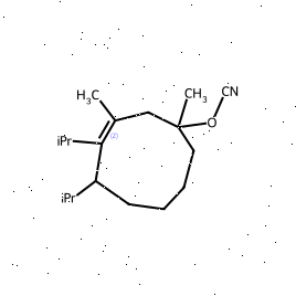 C/C1=C(\C(C)C)C(C(C)C)CCCCC(C)(OC#N)C1